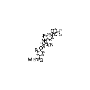 CNC(=O)C1=CC(F)C(OCc2cnn([C@H]3CCN(C(=O)OC4(C)CC4)C[C@@H]3F)c2C#N)C=C1